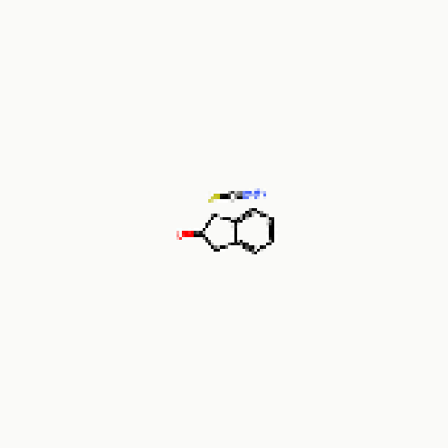 N=C=S.O=C1Cc2ccccc2C1